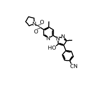 Cc1cc(-n2nc(C)c(-c3ccc(C#N)cc3)c2O)ncc1S(=O)(=O)N1CCCC1